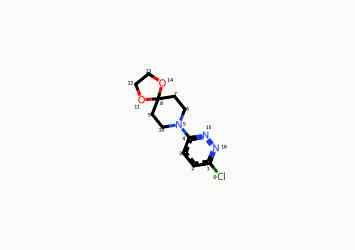 Clc1ccc(N2CCC3(CC2)OCCO3)nn1